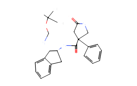 CC(C)(C)OCN[C@H]1c2ccccc2C[C@@H]1NC(=O)C1(c2ccccc2)CNC(=O)C1